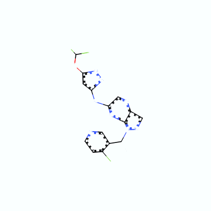 C[C@H](c1cnccc1F)n1ncc2ncc(Nc3cc(OC(F)F)[nH]n3)nc21